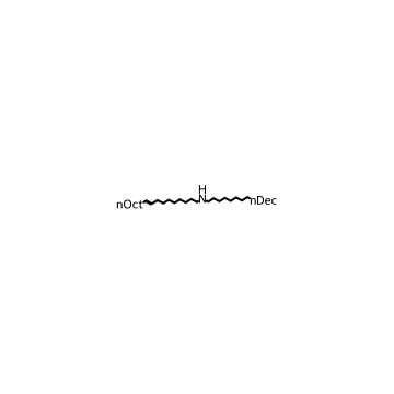 CCCCCCCCC=CCCCCCCCCNCCCCCCCCCCCCCCCCCC